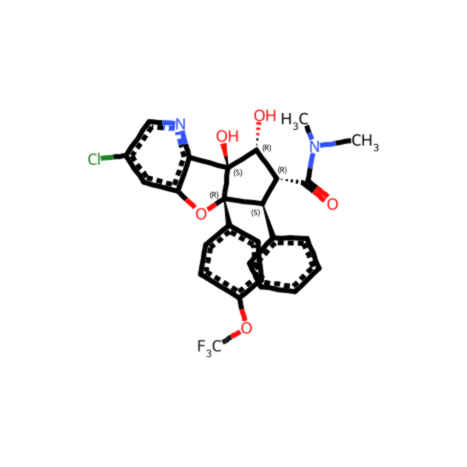 CN(C)C(=O)[C@H]1[C@@H](O)[C@@]2(O)c3ncc(Cl)cc3O[C@@]2(c2ccc(OC(F)(F)F)cc2)[C@@H]1c1ccccc1